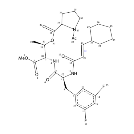 COC(=O)[C@@H](NC(=O)[C@H](Cc1cc(F)cc(F)c1)NC(=O)/C=C/C1CCCCC1)[C@@H](C)OC(=O)C1CCCN1C(C)=O